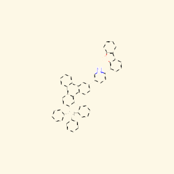 c1ccc([Si]2(c3ccccc3)c3ccccc3-c3c2ccc2c4ccccc4c4cc(-c5ccc(-c6cccc7c6oc6ccccc67)nc5)ccc4c32)cc1